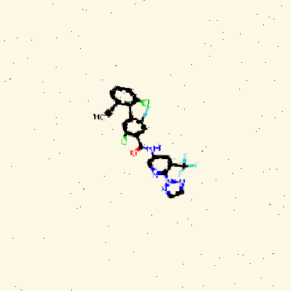 C#Cc1cccc(Cl)c1-c1cc(Cl)c(C(=O)Nc2cnc(-n3nccn3)c(C(F)(F)F)c2)cc1F